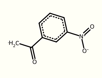 [CH2]C(=O)c1cccc([N+](=O)[O-])c1